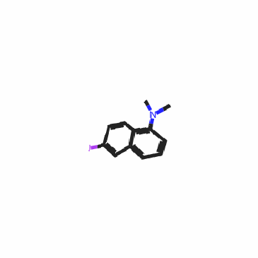 CN(C)c1cccc2cc(I)ccc12